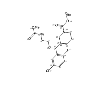 COC(=O)NCCO[C@@H](c1cc(Cl)ccc1F)[C@@H]1CCCN(C(=O)OC(C)(C)C)C1